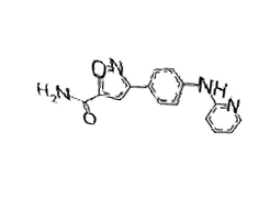 NC(=O)c1cc(-c2ccc(Nc3ccccn3)cc2)no1